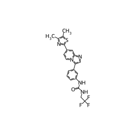 Cc1nc(-c2ccn3c(-c4cccc(NC(=O)NCC(F)(F)F)c4)cnc3c2)sc1C